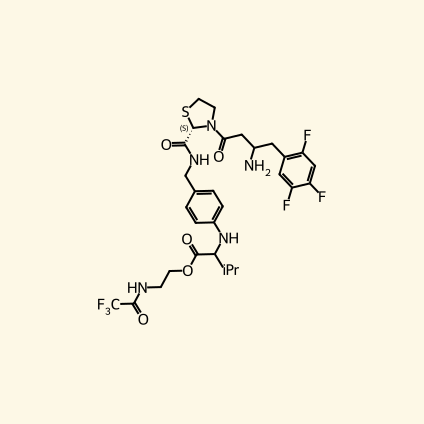 CC(C)C(Nc1ccc(CNC(=O)[C@@H]2SCCN2C(=O)CC(N)Cc2cc(F)c(F)cc2F)cc1)C(=O)OCCNC(=O)C(F)(F)F